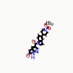 CC(C)(C)OC(=O)N1CCC(c2ccc3c(c2)CCN3C(=O)c2cnc3c(c2)CC(=O)N3)CC1